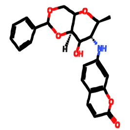 C[C@@H]1OC2COC(c3ccccc3)O[C@@H]2C(O)[C@H]1Nc1ccc2ccc(=O)oc2c1